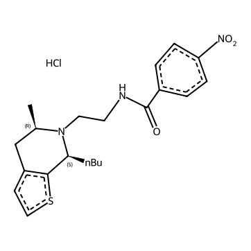 CCCC[C@H]1c2sccc2C[C@@H](C)N1CCNC(=O)c1ccc([N+](=O)[O-])cc1.Cl